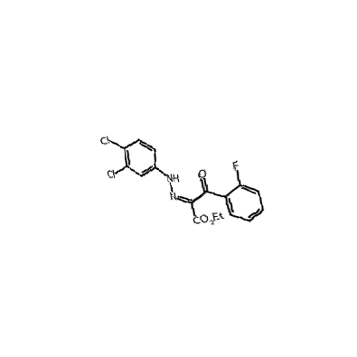 CCOC(=O)C(=NNc1ccc(Cl)c(Cl)c1)C(=O)c1ccccc1F